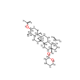 C=C(C)O[C@H]1CC[C@@]2(C)C(CC[C@]3(C)C2CCC2C4[C@H](C(=C)C)CC[C@]4(COC4CCCCO4)CC[C@]23C)[C@H]1C